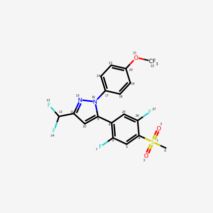 CS(=O)(=O)c1cc(F)c(-c2cc(C(F)F)nn2-c2ccc(OC(F)(F)F)cc2)cc1F